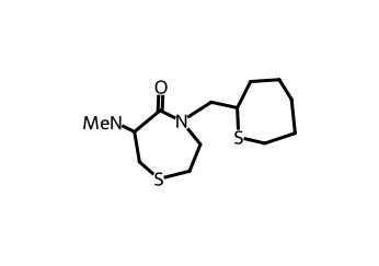 CNC1CSCCN(CC2CCCCCS2)C1=O